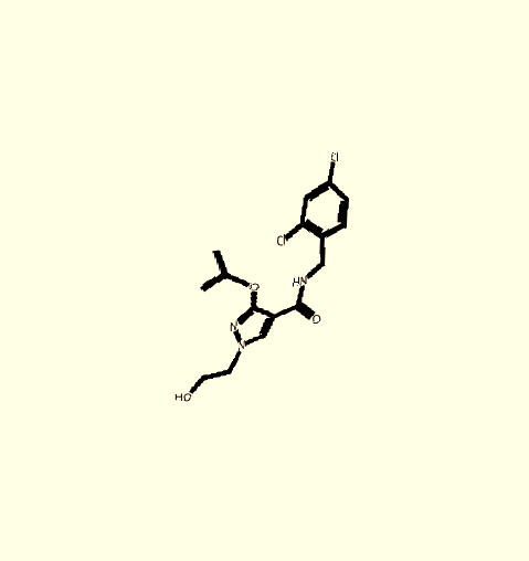 CC(C)Oc1nn(CCO)cc1C(=O)NCc1ccc(Cl)cc1Cl